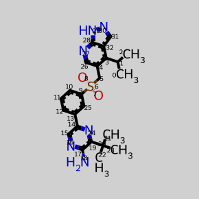 CC(C)c1c(CS(=O)(=O)c2cccc(-c3cnc(N)c(C(C)(C)C)n3)c2)cnc2[nH]ncc12